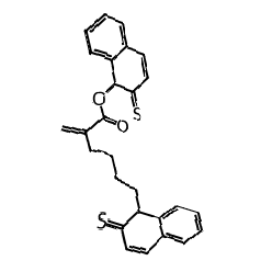 C=C(CCCCC1C(=S)C=Cc2ccccc21)C(=O)OC1C(=S)C=Cc2ccccc21